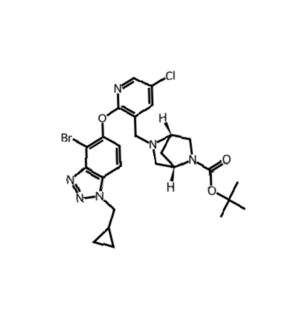 CC(C)(C)OC(=O)N1C[C@@H]2C[C@H]1CN2Cc1cc(Cl)cnc1Oc1ccc2c(nnn2CC2CC2)c1Br